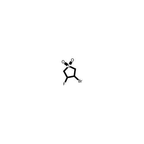 O=S1(=O)CC(F)C(Br)C1